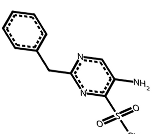 CS(=O)(=O)c1nc(Cc2ccccc2)ncc1N